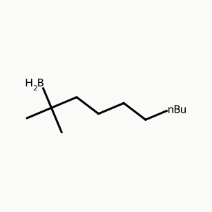 BC(C)(C)CCCCCCCC